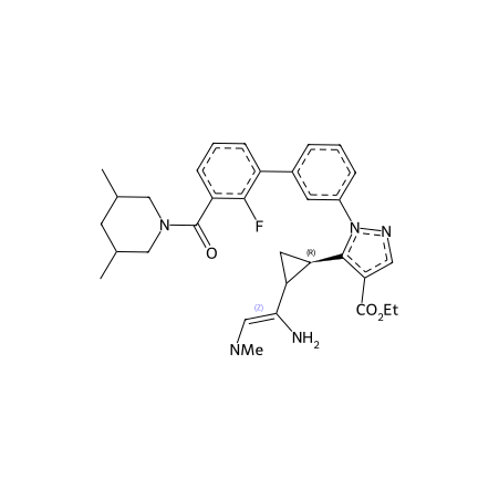 CCOC(=O)c1cnn(-c2cccc(-c3cccc(C(=O)N4CC(C)CC(C)C4)c3F)c2)c1[C@@H]1CC1/C(N)=C/NC